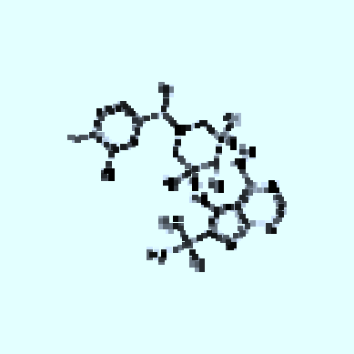 [2H]c1c(C([2H])(C)C)sc2ncnc(N([2H])C3([2H])C([2H])([2H])CN(C([2H])c4ccc(F)c(Cl)c4)CC3([2H])[2H])c12